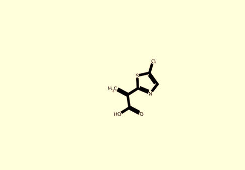 C=C(C(=O)O)c1ncc(Cl)s1